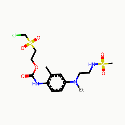 CCN(CCNS(C)(=O)=O)c1ccc(NC(=O)OCCS(=O)(=O)CCl)c(C)c1